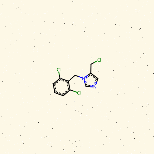 ClCc1cncn1Cc1c(Cl)cccc1Cl